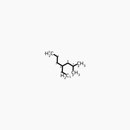 [CH2]CCC(C[CH2])CC(C)C